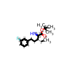 CC[C@H](CCc1cccc(F)c1)C(=N)C(=O)OC(C)(C)C